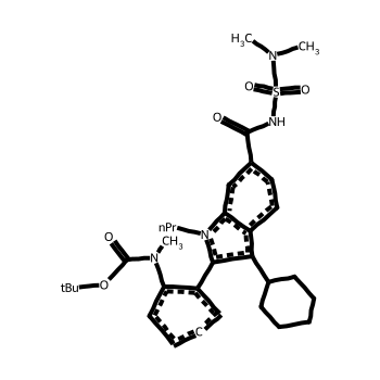 CCCn1c(-c2ccccc2N(C)C(=O)OC(C)(C)C)c(C2CCCCC2)c2ccc(C(=O)NS(=O)(=O)N(C)C)cc21